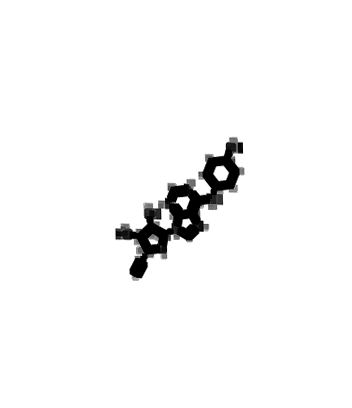 C#C[C@H]1O[C@@H](n2cnc3c(N[C@H]4CC[C@H](O)CC4)ncnc32)[C@H](O)[C@@H]1O